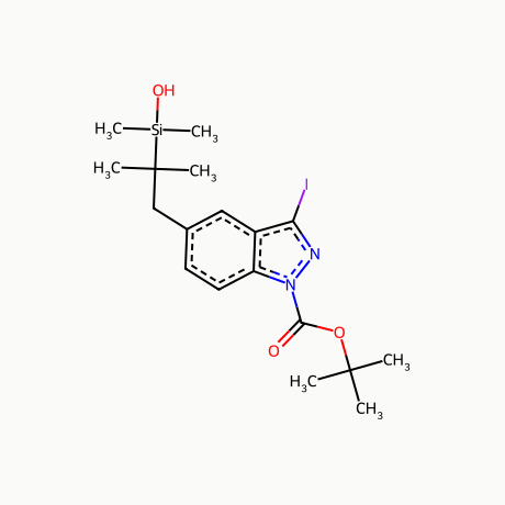 CC(C)(C)OC(=O)n1nc(I)c2cc(CC(C)(C)[Si](C)(C)O)ccc21